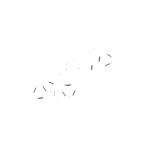 O=C(NC1CCC(CN2C(=O)C(O)(c3cccc(Cl)c3)c3ccccc32)CC1)c1cc(Cl)cnc1C(F)F